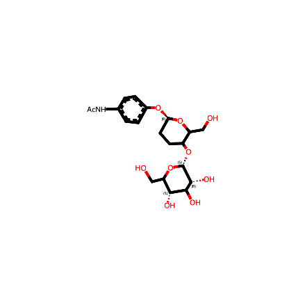 CC(=O)Nc1ccc(O[C@@H]2CCC(O[C@H]3OC(CO)[C@@H](O)C(O)[C@H]3O)C(CO)O2)cc1